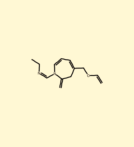 C=COCC1=CC=CN(/C=N\CC)C(=C)C1